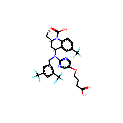 CC[C@@H]1C[C@H](N(Cc2cc(C(F)(F)F)cc(C(F)(F)F)c2)c2ncc(OCCCC(=O)O)cn2)c2cc(C(F)(F)F)ccc2N1C(=O)O